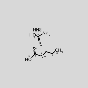 CCCNC(O)=S.NC(O)=S.[NaH]